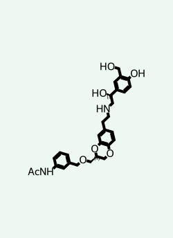 CC(=O)Nc1cccc(COC[C@@H]2COc3ccc(CCNC[C@@H](O)c4ccc(O)c(CO)c4)cc3O2)c1